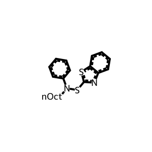 CCCCCCCCN(Sc1nc2ccccc2s1)c1ccccc1